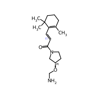 CC1=C(/C=C/C(=O)N2CC[C@@H](OCN)C2)C(C)(C)CCC1